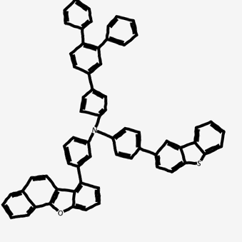 c1ccc(-c2ccc(-c3ccc(N(c4ccc(-c5ccc6sc7ccccc7c6c5)cc4)c4cccc(-c5cccc6oc7c8ccccc8ccc7c56)c4)cc3)cc2-c2ccccc2)cc1